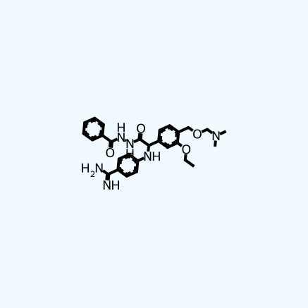 CCOc1cc(C(Nc2ccc(C(=N)N)cc2)C(=O)NNC(=O)c2ccccc2)ccc1COCN(C)C